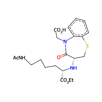 CCOC(=O)[C@H](CCCCNC(C)=O)N[C@H]1CSc2ccccc2N(CC(=O)O)C1=O